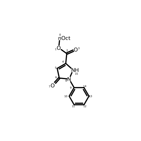 CCCCCCCCOC(=O)c1cc(=O)n(-c2ccccc2)[nH]1